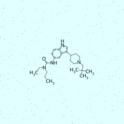 CCCN(CC)C(=O)Nc1ccc2[nH]cc(C3CCN(CC(C)(C)C)CC3)c2c1